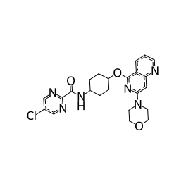 O=C(NC1CCC(Oc2nc(N3CCOCC3)cc3ncccc23)CC1)c1ncc(Cl)cn1